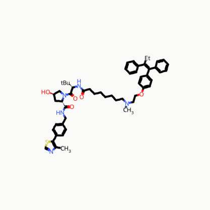 CC/C(=C(\c1ccccc1)c1ccc(OCCN(C)CCCCCCCC(=O)N[C@H](C(=O)N2C[C@H](O)C[C@H]2C(=O)NCc2ccc(-c3scnc3C)cc2)C(C)(C)C)cc1)c1ccccc1